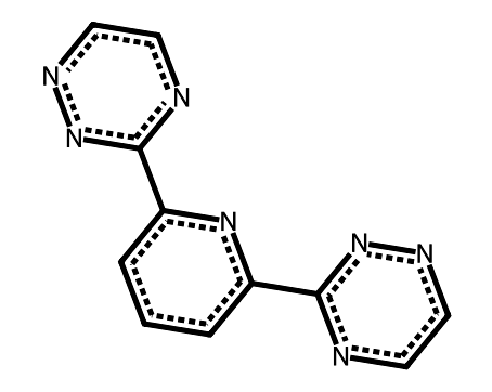 c1cc(-c2nccnn2)nc(-c2nccnn2)c1